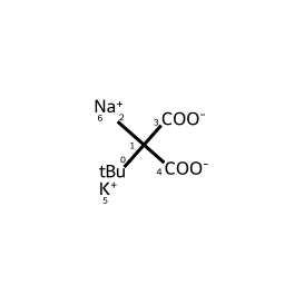 CC(C)(C)C(C)(C(=O)[O-])C(=O)[O-].[K+].[Na+]